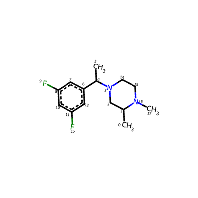 CC1CN(C(C)c2cc(F)cc(F)c2)CCN1C